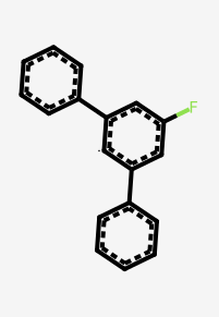 Fc1cc(-c2ccccc2)[c]c(-c2ccccc2)c1